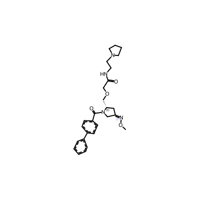 CO/N=C1/C[C@@H](COCC(=O)NCCN2CCCC2)N(C(=O)c2ccc(-c3ccccc3)cc2)C1